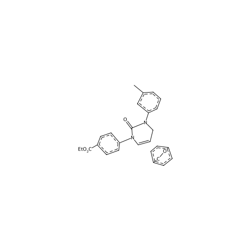 CCOC(=O)c1ccc(N2C=CCN(c3cccc(C)c3)C2=O)cc1.c1cc2ccc1CO2